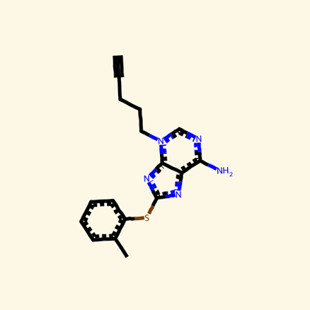 C#CCCCn1cnc(N)c2nc(Sc3ccccc3C)nc1-2